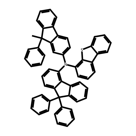 CC1(c2ccccc2)c2ccccc2-c2ccc(N(c3cccc4c3-c3ccccc3C4(c3ccccc3)c3ccccc3)c3cccc4c3sc3ccccc34)cc21